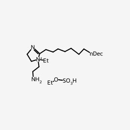 CCCCCCCCCCCCCCCCCC1=NCC[N+]1(CC)CCN.CCOS(=O)(=O)O